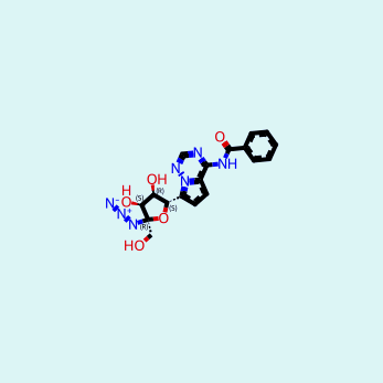 [N-]=[N+]=N[C@]1(CO)O[C@@H](c2ccc3c(NC(=O)c4ccccc4)ncnn23)[C@H](O)[C@@H]1O